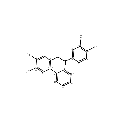 Fc1cc(CNc2ccc(I)c(Cl)c2)c(-c2cccnc2)cc1F